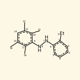 CCc1ccccc1NNc1c(C)c(C)cc(C)c1C